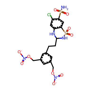 NS(=O)(=O)c1cc2c(cc1Cl)NC(CCc1cc(CO[N+](=O)[O-])cc(CO[N+](=O)[O-])c1)NS2(=O)=O